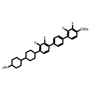 CCCC1CCC(C2CCC(c3ccc(-c4ccc(-c5ccc(OC)c(F)c5F)cc4)c(F)c3F)CC2)CC1